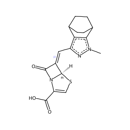 Cn1nc(/C=C2/C(=O)N3C(C(=O)O)=CS[C@H]23)c2c1C1CCC2CC1